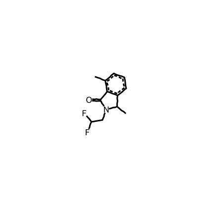 Cc1cccc2c1C(=O)N(CC(F)F)C2C